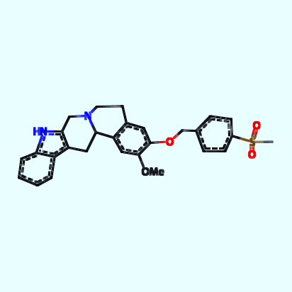 COc1cc2c(cc1OCc1ccc(S(C)(=O)=O)cc1)CCN1Cc3[nH]c4ccccc4c3CC21